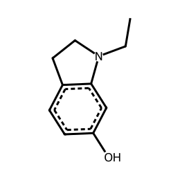 CCN1CCc2ccc(O)cc21